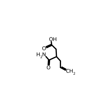 C=CCC(CC(=O)O)C(N)=O